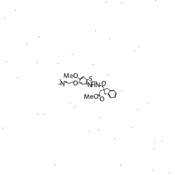 COC(=O)CC1(C(=O)NCc2nc3cc(OCCC[N+](C)(C)C)c(OC)cc3s2)Cc2ccccc2C1